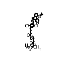 CC(C)(C)OC(=O)CN1CCN(C(=O)CCCCc2cc(Cl)c(COC3(c4cnccc4-c4ccccc4OC4CC4)CC3)cc2Cl)CC1